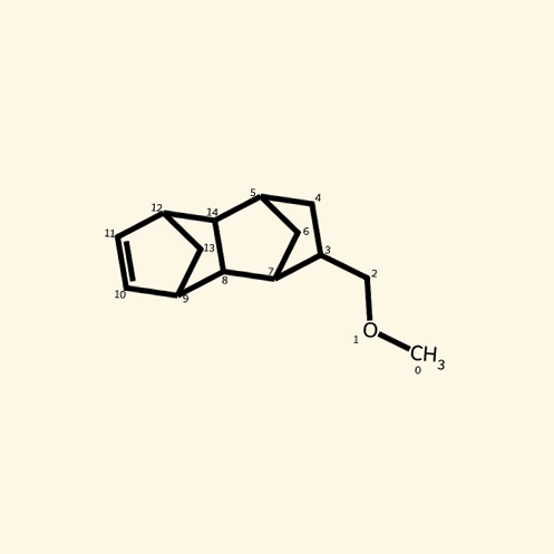 COCC1CC2CC1C1C3C=CC(C3)C21